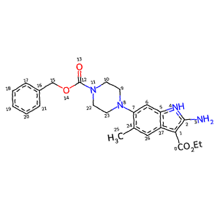 CCOC(=O)c1c(N)[nH]c2cc(N3CCN(C(=O)OCc4ccccc4)CC3)c(C)cc12